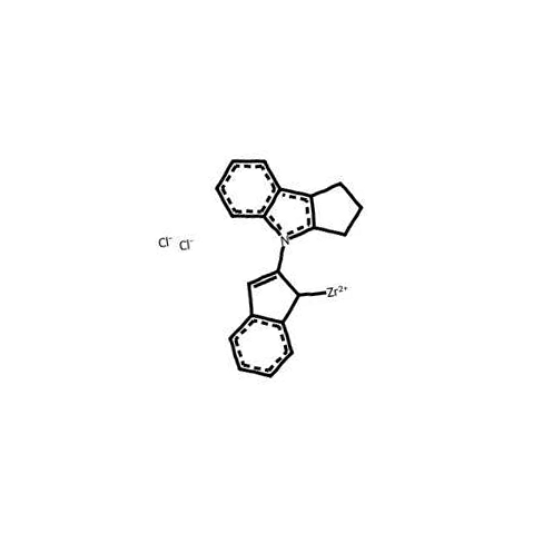 [Cl-].[Cl-].[Zr+2][CH]1C(n2c3c(c4ccccc42)CCC3)=Cc2ccccc21